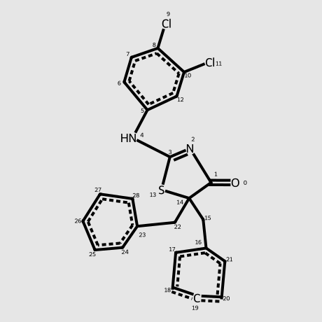 O=C1N=C(Nc2ccc(Cl)c(Cl)c2)SC1(Cc1ccccc1)Cc1ccccc1